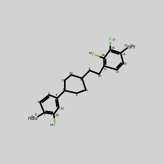 CCCCc1ccc(C2CCC(CCc3ccc(CCC)c(F)c3F)CC2)cc1F